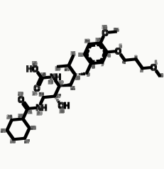 COCCCOc1cc(C[C@H](C[C@H](NC(=O)O)[C@H](O)CNC(=O)C2CCCCC2)C(C)C)ccc1OC